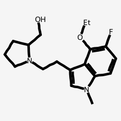 CCOc1c(F)ccc2c1c(CCN1CCCC1CO)cn2C